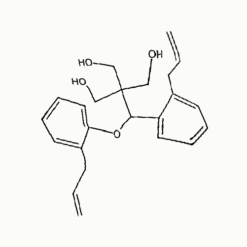 C=CCc1ccccc1OC(c1ccccc1CC=C)C(CO)(CO)CO